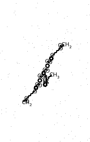 C=CC(=O)OCCCCCCOc1ccc(OC(=O)[C@H]2CC[C@H](C(=O)Oc3ccc(OC(=O)[C@H]4CC[C@H](C(=O)Oc5ccc(OCCCCCCOC(=O)C=C)cc5)CC4)c(/C=N/N(CCCC)c4nc5ccccc5s4)c3)CC2)cc1